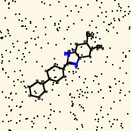 CC1CC2N=C(C3CCC(C4CCCCC4)CC3)NC2CC1C